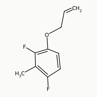 C=CCOc1ccc(F)c(C)c1F